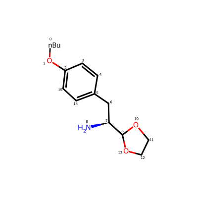 CCCCOc1ccc(C[C@H](N)C2OCCO2)cc1